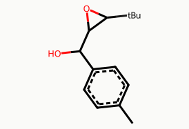 Cc1ccc(C(O)C2OC2C(C)(C)C)cc1